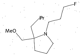 COCC1(CC(C)C)CCCN1CCCF